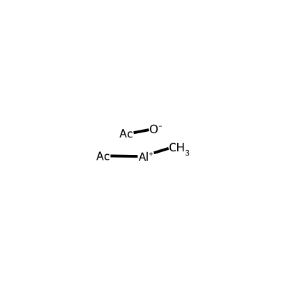 CC(=O)[O-].[CH3][Al+][C](C)=O